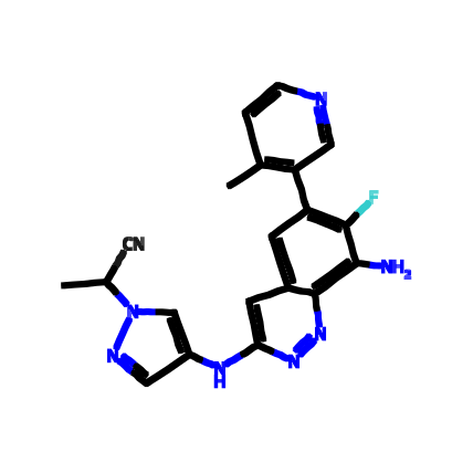 Cc1ccncc1-c1cc2cc(Nc3cnn(C(C)C#N)c3)nnc2c(N)c1F